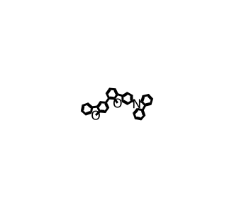 c1ccc2c(c1)oc1ccc(-c3cccc4c3oc3cc(-n5c6ccccc6c6ccccc65)ccc34)cc12